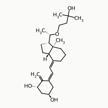 C=C1C(=C/C=C2\CCC[C@]3(C)[C@@H]([C@H](C)OCCC(C)(C)O)CC[C@@H]23)C[C@@H](O)C[C@@H]1O